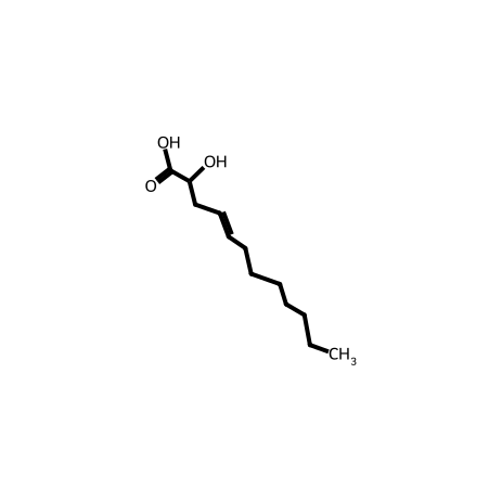 CCCCCCCC=CCC(O)C(=O)O